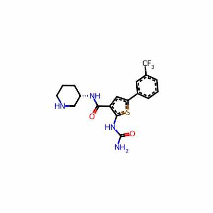 NC(=O)Nc1sc(-c2cccc(C(F)(F)F)c2)cc1C(=O)N[C@H]1CCCNC1